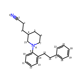 N#CCCC1CCCN(c2ccccc2CCc2ccccc2)C1